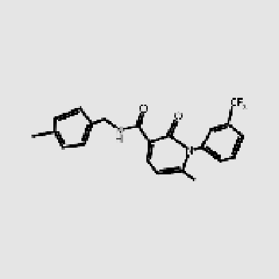 Cc1ccc(CNC(=O)c2ccc(C)n(-c3cccc(C(F)(F)F)c3)c2=O)cc1